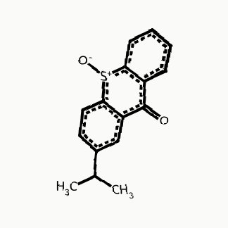 CC(C)c1ccc2c(c1)c(=O)c1ccccc1[s+]2[O-]